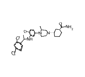 CC(Nc1cc(N2CCN([C@H]3CCC[C@H](C(N)=O)C3)C[C@@H]2C)ccc1Cl)c1ccc(Cl)cc1Cl